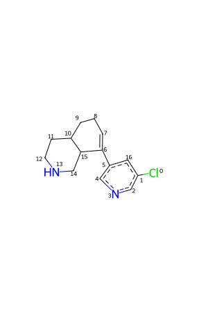 Clc1cncc(C2=CCCC3CCNCC23)c1